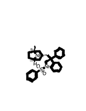 C[C@@]12CC[C@@H](C[C@@H](CC(CNS(=O)(=O)c3ccccc3)(c3ccccc3)c3ccccc3)C1)N2